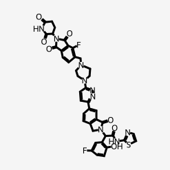 O=C1CCC(N2C(=O)c3ccc(CN4CCN(c5ccc(-c6ccc7c(c6)C(=O)N(C(C(=O)Nc6nccs6)c6cc(F)ccc6O)C7)nn5)CC4)c(F)c3C2=O)C(=O)N1